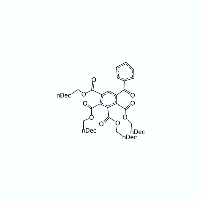 CCCCCCCCCCCOC(=O)c1cc(C(=O)c2ccccc2)c(C(=O)OCCCCCCCCCCC)c(C(=O)OCCCCCCCCCCC)c1C(=O)OCCCCCCCCCCC